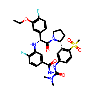 CCOc1cc([C@@H](Nc2cc(C(N)=O)ccc2F)C(=O)N2CCC[C@@H]2c2cc(NC(=O)N(C)C)ccc2S(C)(=O)=O)ccc1F